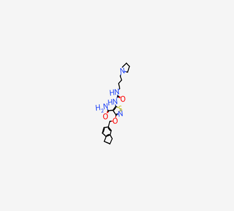 NC(=O)c1c(OCc2ccc3c(c2)CCC3)nsc1NC(=O)NCCCCN1CCCC1